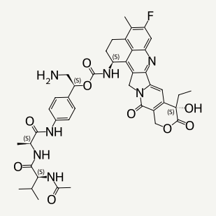 CC[C@@]1(O)C(=O)OCc2c1cc1n(c2=O)Cc2c-1nc1cc(F)c(C)c3c1c2[C@@H](NC(=O)O[C@H](CN)c1ccc(NC(=O)[C@H](C)NC(=O)[C@@H](NC(C)=O)C(C)C)cc1)CC3